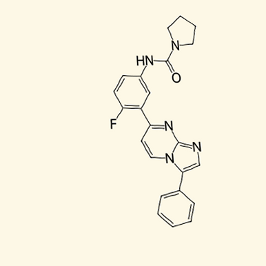 O=C(Nc1ccc(F)c(-c2ccn3c(-c4ccccc4)cnc3n2)c1)N1CCCC1